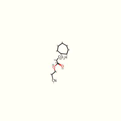 C1CCCCCC1.N#CCCOC(=O)CC(=O)O